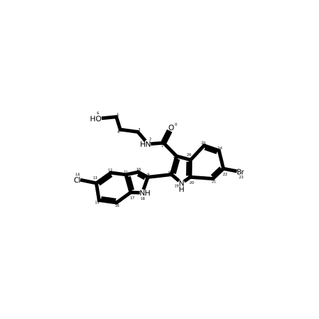 O=C(NCCCO)c1c(-c2cc3cc(Cl)ccc3[nH]2)[nH]c2cc(Br)ccc12